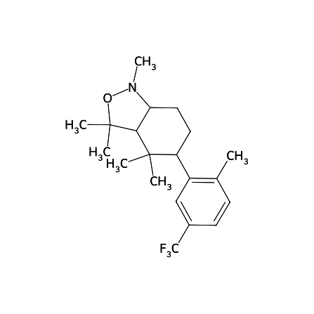 Cc1ccc(C(F)(F)F)cc1C1CCC2C(C(C)(C)ON2C)C1(C)C